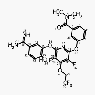 CN(C)C(=O)c1cccc(Oc2nc(Oc3cc(C(=N)N)ccc3O)c(F)c(OCC(F)(F)F)c2F)c1